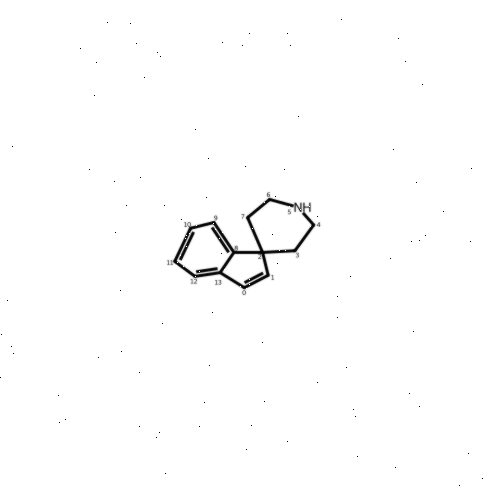 C1=CC2(CCNCC2)c2ccccc21